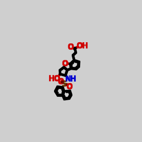 O=C(O)CCc1cccc2c1OC1CC(O)C(NS(=O)(=O)c3cccc4ccccc34)C21